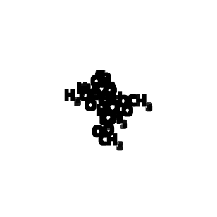 CC(=O)O[C@@H]1CC[C@@]2(C)[C@@H](C1)C[C@@H](OC(C)=O)[C@@H]1[C@@H]2C[C@H](OC(C)=O)[C@]2(C)[C@@H](C3(C)OCCO3)CC[C@@H]12